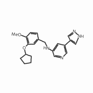 COc1ccc(CNc2cncc(-c3cn[nH]c3)c2)cc1OC1CCCC1